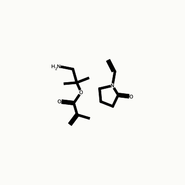 C=C(C)C(=O)OC(C)(C)CN.C=CN1CCCC1=O